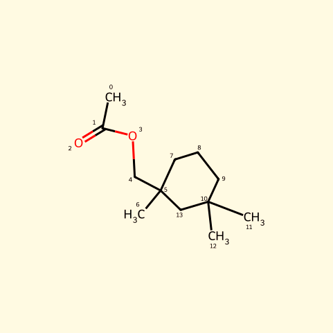 CC(=O)OCC1(C)CCCC(C)(C)C1